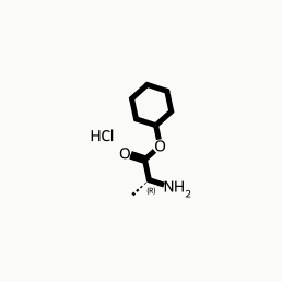 C[C@@H](N)C(=O)OC1CCCCC1.Cl